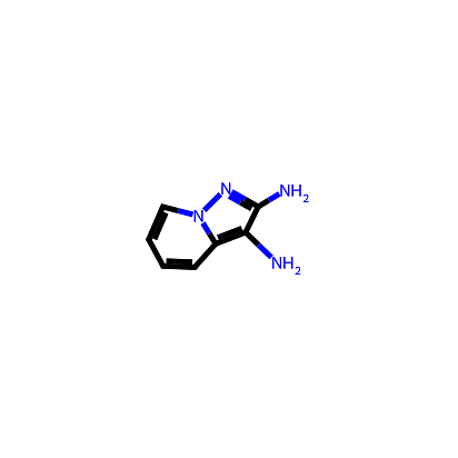 Nc1nn2ccccc2c1N